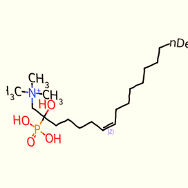 CCCCCCCCCCCCCCCCC/C=C\CCCCC(O)(C[N+](C)(C)C)P(=O)(O)O